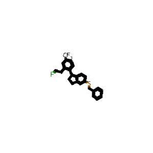 FCCc1cc(C(F)(F)F)ccc1C1CCc2cc(SCc3ccccc3)ccc21